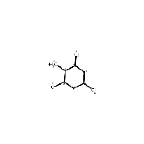 [CH2]C1C(Cl)CC(Cl)CC1Cl